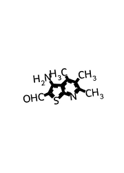 Cc1nc2sc(C=O)c(N)c2c(C)c1C